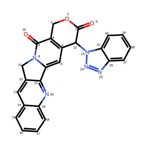 O=C1OCc2c(cc3n(c2=O)Cc2cc4ccccc4nc2-3)C1n1nnc2ccccc21